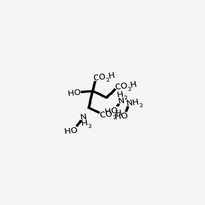 NO.NO.NO.O=C(O)CC(O)(CC(=O)O)C(=O)O